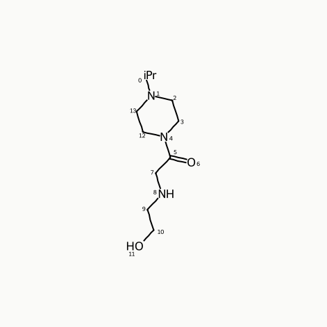 CC(C)N1CCN(C(=O)CNCCO)CC1